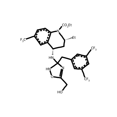 CCOC(=O)N1c2ccc(C(F)(F)F)cc2[C@@H](NC2(Cc3cc(C(F)(F)F)cc(C(F)(F)F)c3)N=C(CO)ON2)C[C@H]1CC